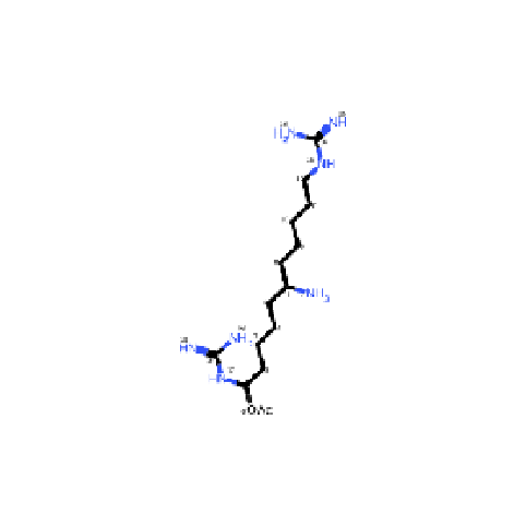 CC(=O)OC(CCCCC(N)CCCCCNC(=N)N)NC(=N)N